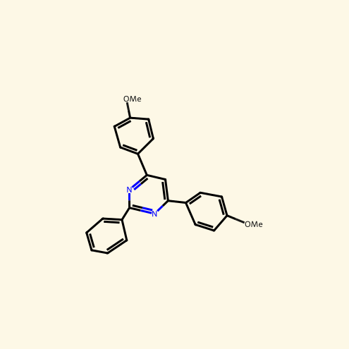 COc1ccc(-c2cc(-c3ccc(OC)cc3)nc(-c3ccccc3)n2)cc1